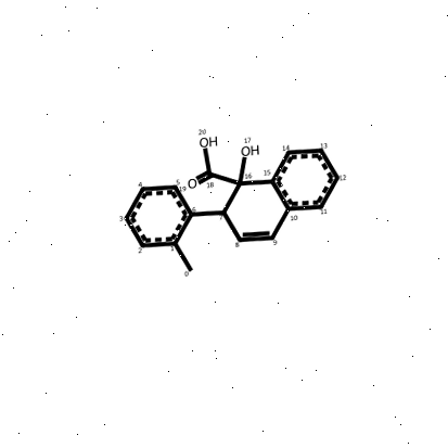 Cc1ccccc1C1C=Cc2ccccc2C1(O)C(=O)O